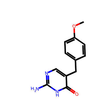 COc1ccc(Cc2cnc(N)[nH]c2=O)cc1